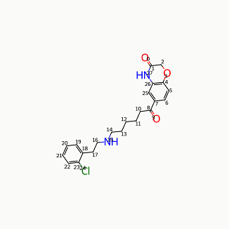 O=C1COc2ccc(C(=O)CCCCCNCCc3ccccc3Cl)cc2N1